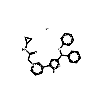 O=C(C[n+]1cccc(-c2cc(C(Oc3ccccc3)c3ccccc3)n[nH]2)c1)NC1CC1.[Br-]